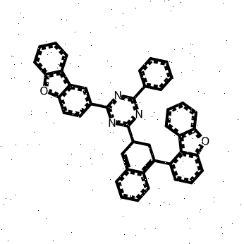 C1=c2ccccc2=C(c2cccc3oc4ccccc4c23)CC1c1nc(-c2ccccc2)nc(-c2ccc3oc4ccccc4c3c2)n1